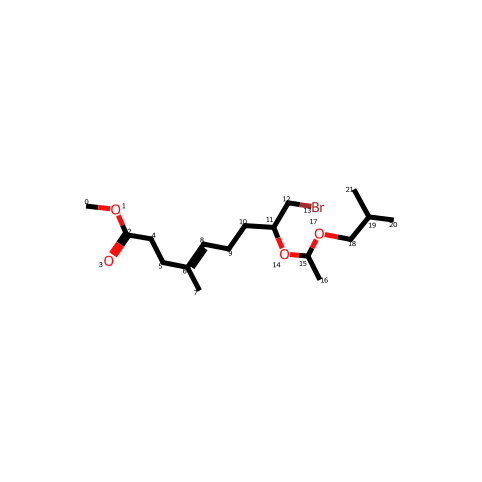 COC(=O)CCC(C)=CCCC(CBr)OC(C)OCC(C)C